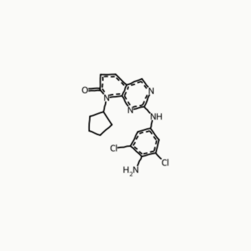 Nc1c(Cl)cc(Nc2ncc3ccc(=O)n(C4CCCC4)c3n2)cc1Cl